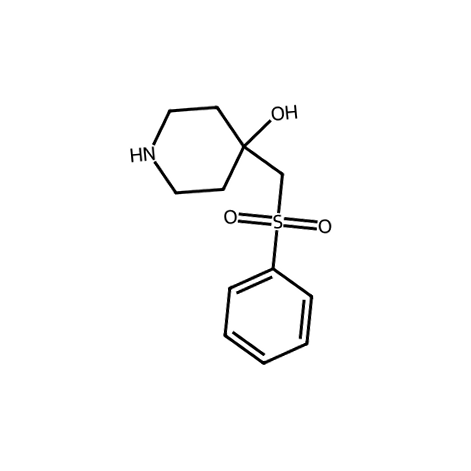 O=S(=O)(CC1(O)CCNCC1)c1ccccc1